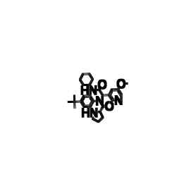 COc1cncc(C(C(=O)NC2CCCCC2)N(C(=O)[C@H]2CCCN2)c2ccc(C(C)(C)C)cc2)c1